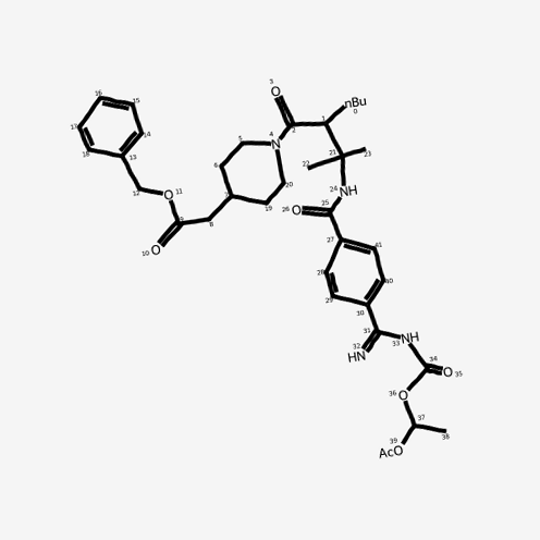 CCCCC(C(=O)N1CCC(CC(=O)OCc2ccccc2)CC1)C(C)(C)NC(=O)c1ccc(C(=N)NC(=O)OC(C)OC(C)=O)cc1